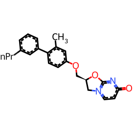 CCCc1cccc(-c2ccc(OC[C@@H]3Cn4ccc(=O)nc4O3)cc2C)c1